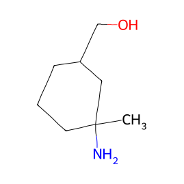 CC1(N)CCCC(CO)C1